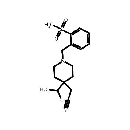 CC(C)C1(CC#N)CCN(Cc2ccccc2S(C)(=O)=O)CC1